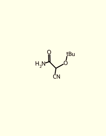 CC(C)(C)OC(C#N)C(N)=O